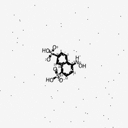 O=S(=O)(O)c1ccc2c(NO)ccc(S(=O)(=O)O)c2c1